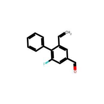 C=Cc1cc(C=O)cc(F)c1-c1ccccc1